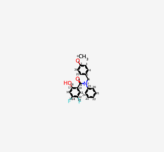 COc1ccc(CN(C(=O)c2cc(F)c(F)cc2O)c2ccccc2)cc1